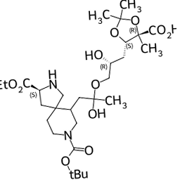 CCOC(=O)[C@@H]1CC2(CCN(C(=O)OC(C)(C)C)CC2CC(C)(O)OC[C@H](O)C[C@@H]2OC(C)(C)O[C@@]2(C)C(=O)O)CN1